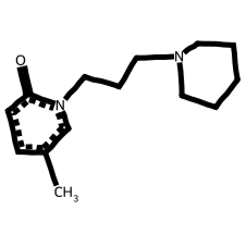 Cc1ccc(=O)n(CCCN2CCCCC2)c1